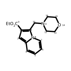 CCOC(=O)c1cc2ccccn2c1CN1CCOCC1